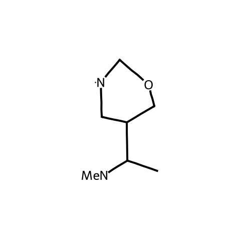 CNC(C)C1C[N]COC1